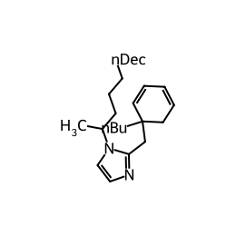 CCCCCCCCCCCCCC(C)n1ccnc1CC1(CCCC)C=CC=CC1